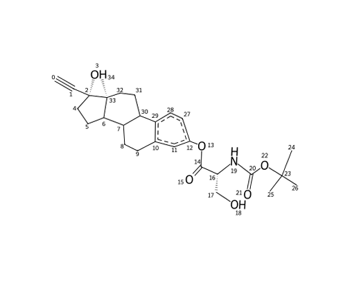 C#C[C@]1(O)CCC2C3CCc4cc(OC(=O)[C@@H](CO)NC(=O)OC(C)(C)C)ccc4C3CC[C@@]21C